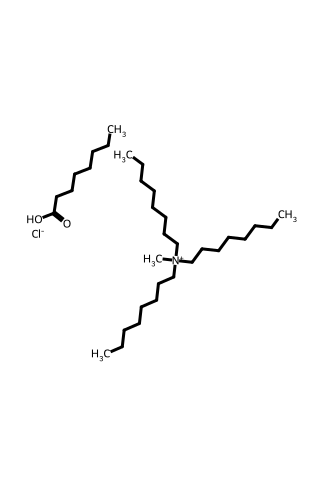 CCCCCCCC(=O)O.CCCCCCCC[N+](C)(CCCCCCCC)CCCCCCCC.[Cl-]